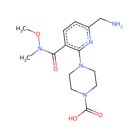 CON(C)C(=O)c1ccc(CN)nc1N1CCN(C(=O)O)CC1